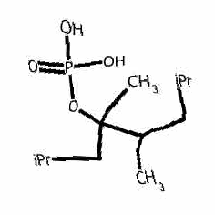 CC(C)CC(C)C(C)(CC(C)C)OP(=O)(O)O